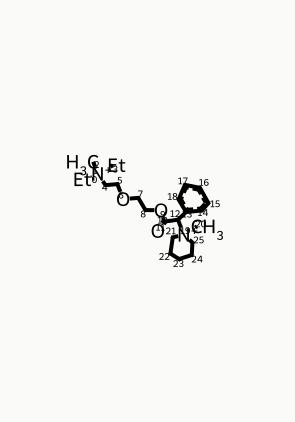 CC[N+](C)(CC)CCOCCOC(=O)C(c1ccccc1)[N+]1(C)CCCCC1